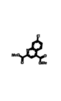 COC(=O)c1cc(C(=O)OC)c2ccc(Cl)cc2n1